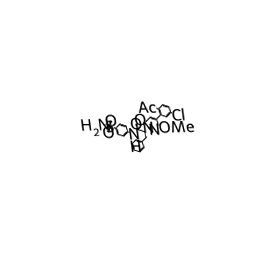 COc1nn([C@@H](Cc2ccccc2)C(=O)Nc2ccc(S(N)(=O)=O)cc2)c(=O)cc1-c1cc(Cl)ccc1C(C)=O